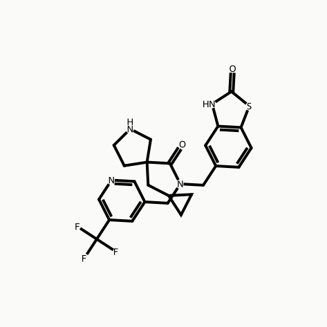 O=C(N(Cc1cncc(C(F)(F)F)c1)Cc1ccc2sc(=O)[nH]c2c1)C1(CC2CC2)CCNC1